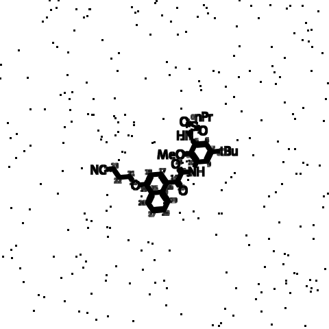 CCCS(=O)(=O)Nc1cc(C(C)(C)C)cc(NC(=O)C(=O)c2ccc(OCCCC#N)c3ccccc23)c1OC